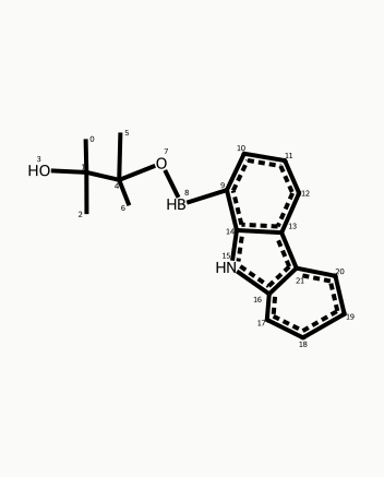 CC(C)(O)C(C)(C)OBc1cccc2c1[nH]c1ccccc12